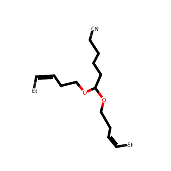 CC/C=C\CCOC(CCCCC#N)OCC/C=C\CC